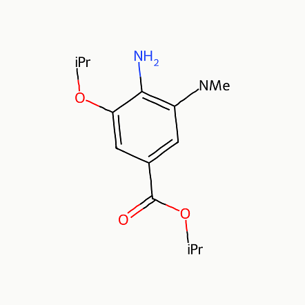 CNc1cc(C(=O)OC(C)C)cc(OC(C)C)c1N